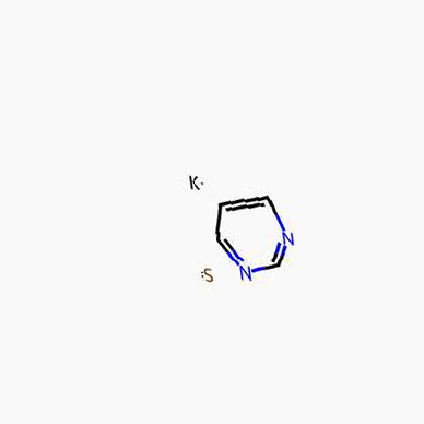 [K].[S].c1cncnc1